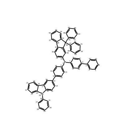 c1ccc(-c2ccc(P(c3ccc(-c4ccc5c(c4)c4ccccc4n5-c4ccccc4)cc3)c3ccc4c(c3)C(c3ccccc3)(c3ccccc3)c3ccccc3-4)cc2)cc1